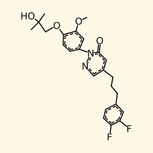 COc1cc(-n2ncc(CCCc3ccc(F)c(F)c3)cc2=O)ccc1OCC(C)(C)O